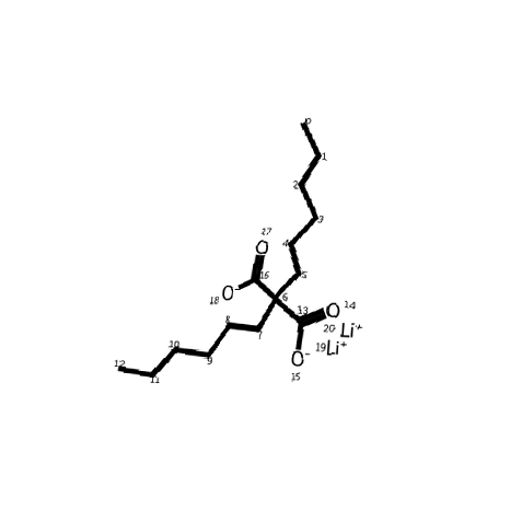 CCCCCCC(CCCCCC)(C(=O)[O-])C(=O)[O-].[Li+].[Li+]